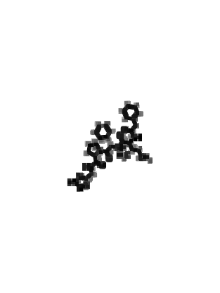 CC[C@H](C)[C@H](NC(=O)Cc1ccccc1)C(=O)NCC(=O)N1C(C(=O)NCc2nn[nH]n2)CC[C@@H]1c1ccccc1